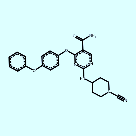 N#CN1CCC(Nc2ncc(C(N)=O)c(Oc3ccc(Oc4ccccc4)cc3)n2)CC1